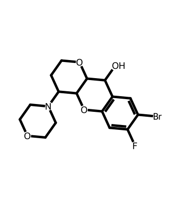 OC1c2cc(Br)c(F)cc2OC2C1OCCC2N1CCOCC1